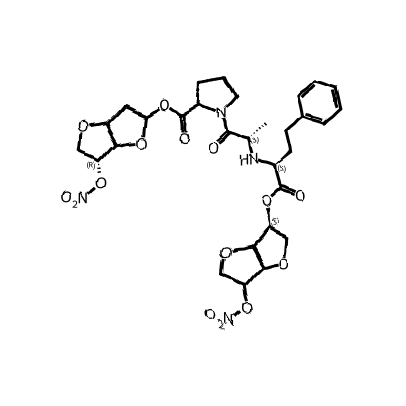 C[C@H](N[C@@H](CCc1ccccc1)C(=O)O[C@H]1COC2C(O[N+](=O)[O-])COC21)C(=O)N1CCCC1C(=O)OC1CC2OC[C@@H](O[N+](=O)[O-])C2O1